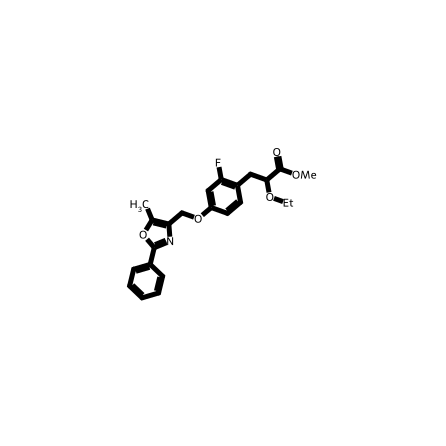 CCOC(Cc1ccc(OCc2nc(-c3ccccc3)oc2C)cc1F)C(=O)OC